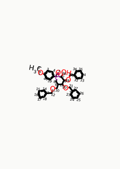 COc1ccc(P2(=O)CC(COCc3ccccc3)C(OCc3ccccc3)C(OCc3ccccc3)C2O)cc1